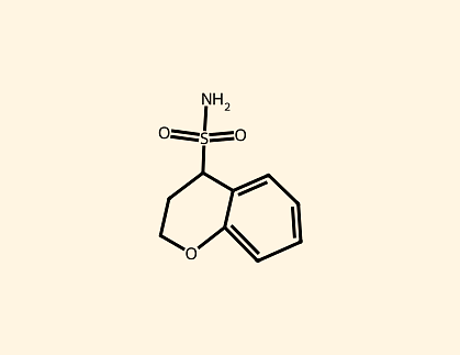 NS(=O)(=O)C1CCOc2ccccc21